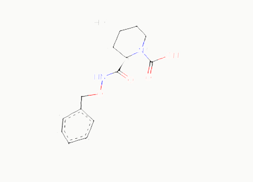 C[C@@H]1CCN(C(=O)O)[C@@H](C(=O)NOCc2ccccc2)C1